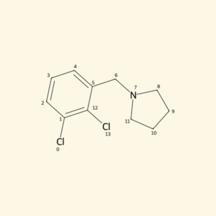 Clc1cccc(CN2CCCC2)c1Cl